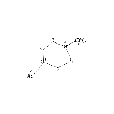 CC(=O)C1=CCN(C)CC1